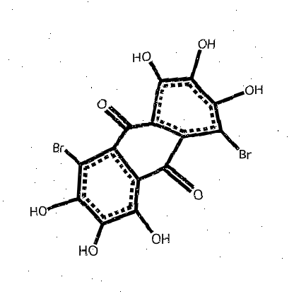 O=C1c2c(O)c(O)c(O)c(Br)c2C(=O)c2c(O)c(O)c(O)c(Br)c21